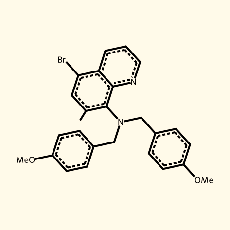 COc1ccc(CN(Cc2ccc(OC)cc2)c2c(C)cc(Br)c3cccnc23)cc1